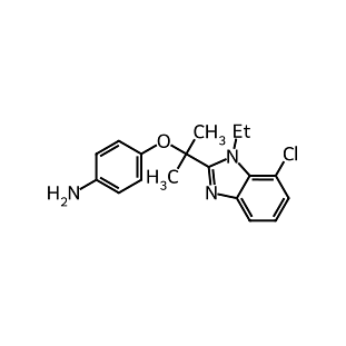 CCn1c(C(C)(C)Oc2ccc(N)cc2)nc2cccc(Cl)c21